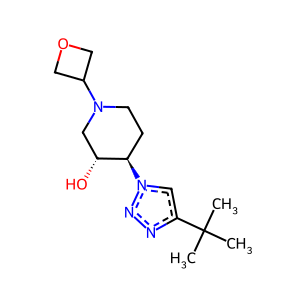 CC(C)(C)c1cn([C@@H]2CCN(C3COC3)C[C@H]2O)nn1